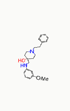 COc1cccc(NCC2(O)CCN(CCc3ccccc3)CC2)c1